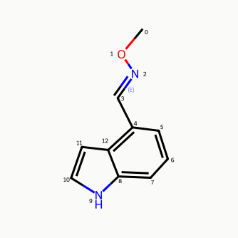 CO/N=C/c1cccc2[nH]ccc12